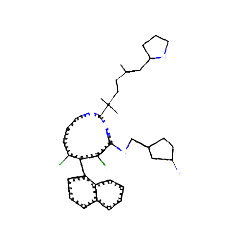 CCC(CCC(C)(CC)c1ncccc(Cl)c(-c2cccc3ccccc23)c(F)c(NCC2CCC(N)C2)n1)CC1CCCN1